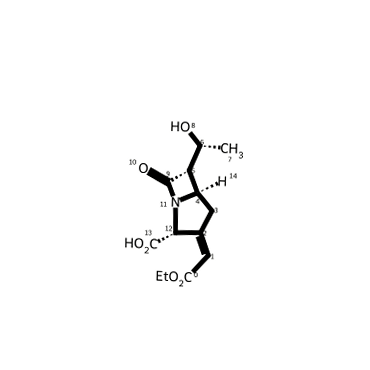 CCOC(=O)C=C1C[C@@H]2[C@@H]([C@@H](C)O)C(=O)N2[C@H]1C(=O)O